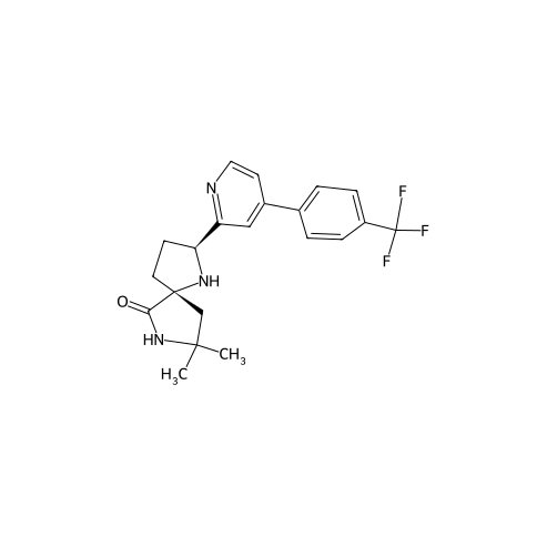 CC1(C)C[C@]2(CC[C@@H](c3cc(-c4ccc(C(F)(F)F)cc4)ccn3)N2)C(=O)N1